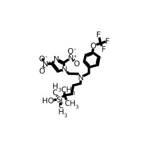 CC(C)(CCCN(CCn1cc([N+](=O)[O-])nc1[N+](=O)[O-])Cc1ccc(OC(F)(F)F)cc1)[Si](C)(C)O